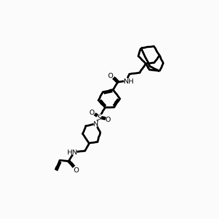 C=CC(=O)NCC1CCN(S(=O)(=O)c2ccc(C(=O)NCCC34CC5CC(CC(C5)C3)C4)cc2)CC1